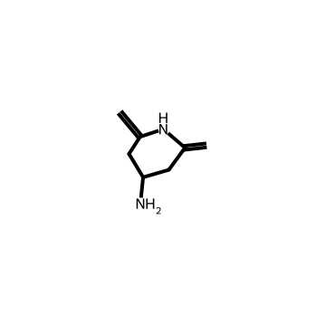 C=C1CC(N)CC(=C)N1